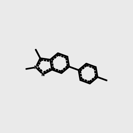 Cc1ccc(-c2ccc3c(C)n(C)nc3c2)cc1